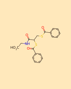 O=C(O)CNC(=O)C(CSC(=O)c1ccccc1)SC(=O)c1ccccc1